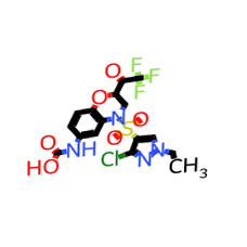 CCn1cc(S(=O)(=O)N2CC(C(=O)C(F)(F)F)Oc3ccc(NC(=O)O)cc32)c(Cl)n1